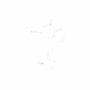 CC1NC(=O)C2CC(c3cccc4c(=O)n(C)c(NC(C)(C)C)nc34)NC12